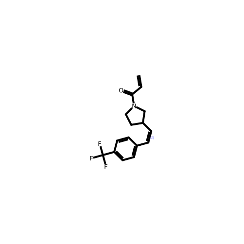 C=CC(=O)N1CCC(/C=C\c2ccc(C(F)(F)F)cc2)C1